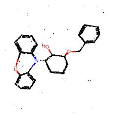 O[C@H]1[C@@H](OCc2ccccc2)CCC[C@@H]1N1c2ccccc2Oc2ccccc21